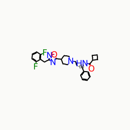 O=C(N[C@@H](CCN1CCC(c2nc(Cc3c(F)cccc3F)no2)CC1)c1ccccc1)C1CCC1